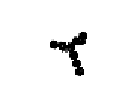 CC1(C)c2ccccc2-c2ccc(C3=NC(c4ccc(-c5ccccc5)cc4)NC(c4ccc(-c5ccc(-c6cccnc6)cc5)cc4)=C3)cc21